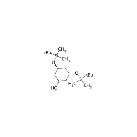 CC(C)(C)[Si](C)(C)O[C@@H]1CC(O)C[C@@H](O[Si](C)(C)C(C)(C)C)C1